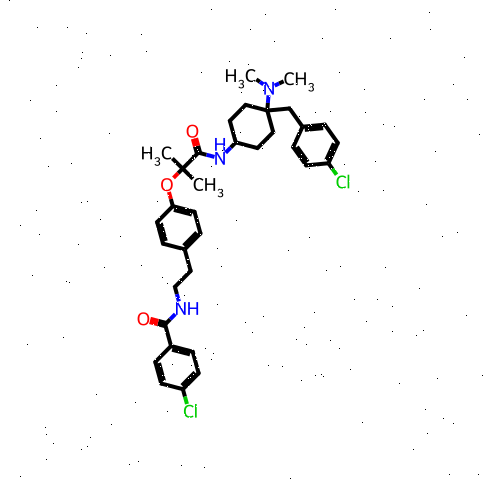 CN(C)C1(Cc2ccc(Cl)cc2)CCC(NC(=O)C(C)(C)Oc2ccc(CCNC(=O)c3ccc(Cl)cc3)cc2)CC1